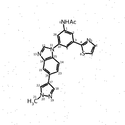 CC(=O)Nc1cc(-c2nccs2)cc(-n2cnc3cc(-c4cnn(C)c4)ccc32)c1